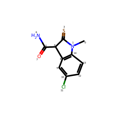 CN1C(=S)C(C(N)=O)c2cc(Cl)ccc21